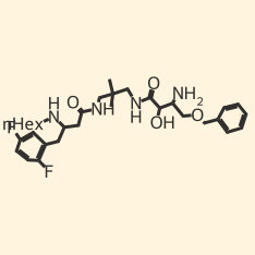 CCCCCCNC(CC(=O)NCC(C)(C)CNC(=O)C(O)C(N)COCc1ccccc1)Cc1cc(F)ccc1F